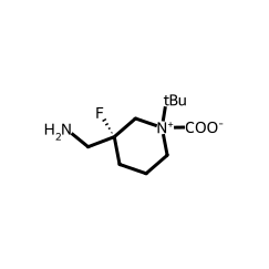 CC(C)(C)[N+]1(C(=O)[O-])CCC[C@@](F)(CN)C1